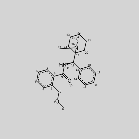 COCc1ccccc1C(=O)N[C@H](c1ccccc1)C12CCC(CC1)CN2C